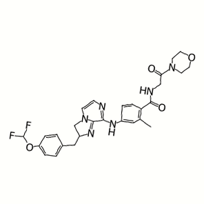 Cc1cc(NC2=NC=CN3CC(Cc4ccc(OC(F)F)cc4)N=C23)ccc1C(=O)NCC(=O)N1CCOCC1